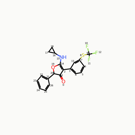 O=C1C(c2cccc(SC(F)(F)F)c2)=C(NC2CC2)OC1c1ccccc1